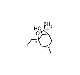 B[C@@H]1O[C@@]2(CI)CN(C)CC1C2O